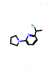 CC(Br)c1cccc(N2CCCC2)n1